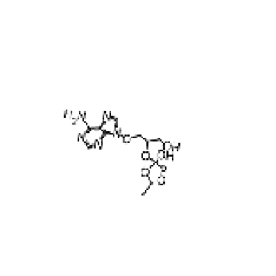 CCOC(O)(OC(CO)COn1cnc2c(N)ncnc21)P=O